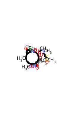 COc1cc2cc(c1Cl)N(C)C(=O)C[C@H](OC(=O)[C@H](C)N(C)C(=O)CCC[SH](C)(C)=O)[C@@]1(C)O[C@H]1[C@H](C)[C@@H]1C[C@@](O)(NC(=O)O1)[C@H](OC)C#CCC(C)C2